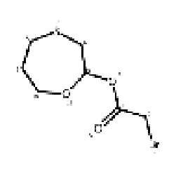 O=C(CBr)OC1CSCCCO1